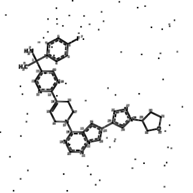 CC(N)(c1ccc(F)cc1)c1cnc(C2=CCN(c3ncnn4cc(-c5cnn(C6CCOC6)c5)cc34)CC2)nc1